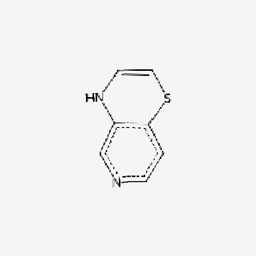 C1=CSc2ccncc2N1